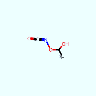 [2H]C(O)ON=C=O